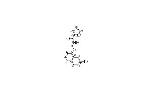 O=C(NCCc1cccc2ccc(I)cc12)c1ccco1